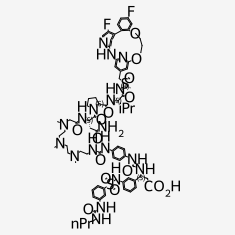 CCCNC(=O)Nc1cccc(S(=O)(=O)Nc2cccc([C@H](CC(=O)O)NC(=O)Nc3ccc(NC(=O)NCCN(C)CCN(C)CCN(C)CC(=O)N[C@@H](CC(N)=O)C(=O)N4CCC[C@H]4C(=O)N[C@H](C(=O)N=[S@](C)(=O)Cc4cc5nc(c4)OCCCOc4cc(F)ccc4-c4cc(ncc4F)N5)C(C)C)cc3)c2)c1